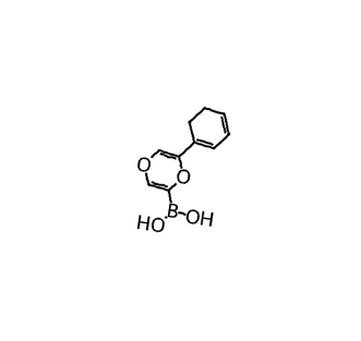 OB(O)C1=COC=C(C2=CC=CCC2)O1